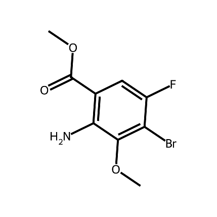 COC(=O)c1cc(F)c(Br)c(OC)c1N